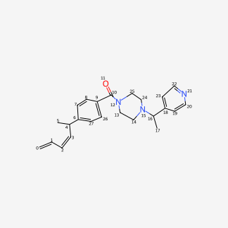 C=C/C=C\C(C)c1ccc(C(=O)N2CCN(C(C)c3ccncc3)CC2)cc1